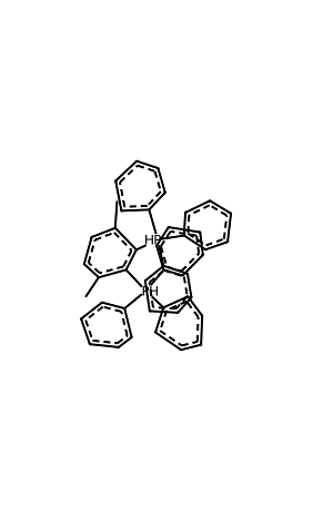 Cc1ccc(C)c([PH](c2ccccc2)(c2ccccc2)c2ccccc2)c1[PH](c1ccccc1)(c1ccccc1)c1ccccc1